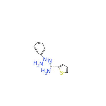 N/C(=N\N(N)c1ccccc1)c1cccs1